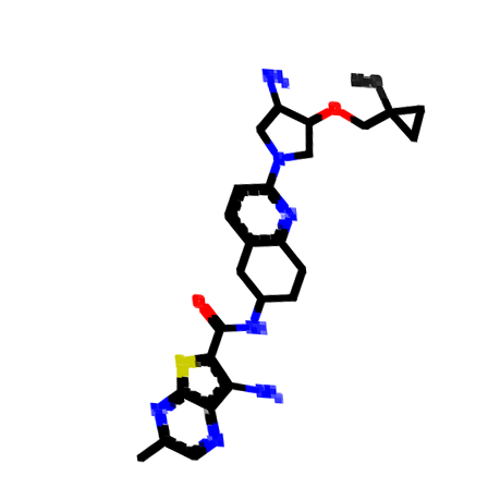 COC1(COC2CN(c3ccc4c(n3)CCC(NC(=O)c3sc5nc(C)cnc5c3N)C4)CC2N)CC1